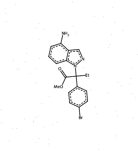 CCC(C(=O)OC)(c1ccc(Br)cc1)n1ncc2c(N)cccc21